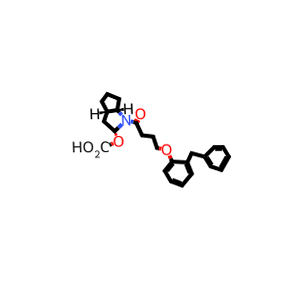 O=C(O)O[C@H]1C[C@@H]2CCC[C@@H]2N1C(=O)CCCOc1ccccc1Cc1ccccc1